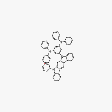 c1ccc(N(c2ccccc2)c2cc(N(c3ccccc3)c3ccccc3)cc(-n3c4ccccc4c4cc5c6ccccc6n(-c6ccccc6)c5cc43)c2)cc1